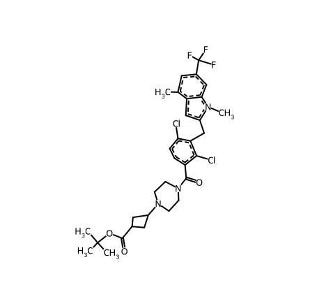 Cc1cc(C(F)(F)F)cc2c1cc(Cc1c(Cl)ccc(C(=O)N3CCN(C4CC(C(=O)OC(C)(C)C)C4)CC3)c1Cl)n2C